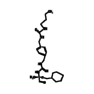 CCCCNC(=O)NCc1ccc(CNC(=N)N[C@@](C)(C=O)CCC2CCCCC2)cc1